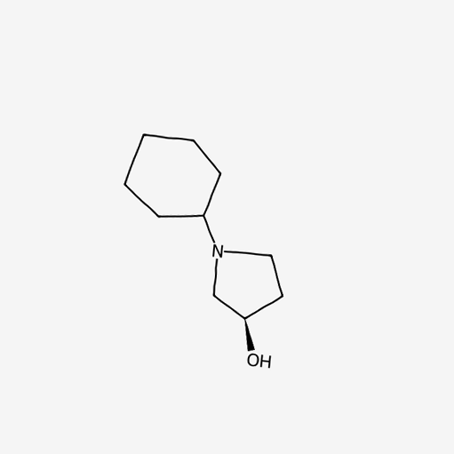 O[C@@H]1CCN(C2CCCCC2)C1